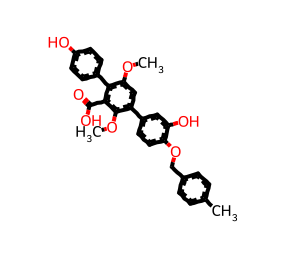 COc1cc(-c2ccc(OCc3ccc(C)cc3)c(O)c2)c(OC)c(C(=O)O)c1-c1ccc(O)cc1